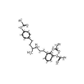 CC(CCc1ccc(OC(=O)C(C)C)cc1)NCCc1cccc(OC(=O)C(C)C)c1OC(=O)C(C)C